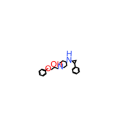 O[C@@H](COc1ccccc1)CN1CCC(NC2CC2c2ccccc2)CC1